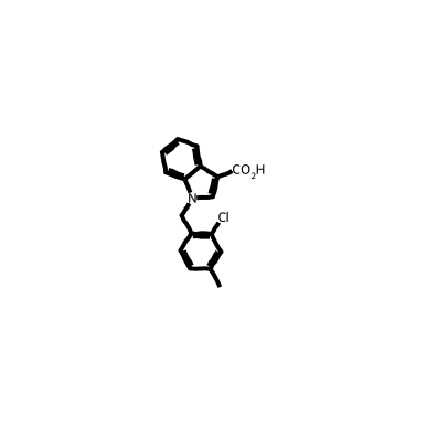 Cc1ccc(Cn2cc(C(=O)O)c3ccccc32)c(Cl)c1